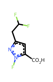 O=C(O)c1cc(CC(F)F)nn1F